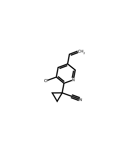 C=Cc1cnc(C2(C#N)CC2)c(Cl)c1